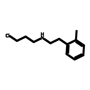 Cc1ccccc1CCNCCCCl